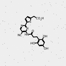 N#Cc1cnc(-c2ccc(CC(=O)O)s2)nc1NC(=O)CCc1c(O)cc(O)cc1O